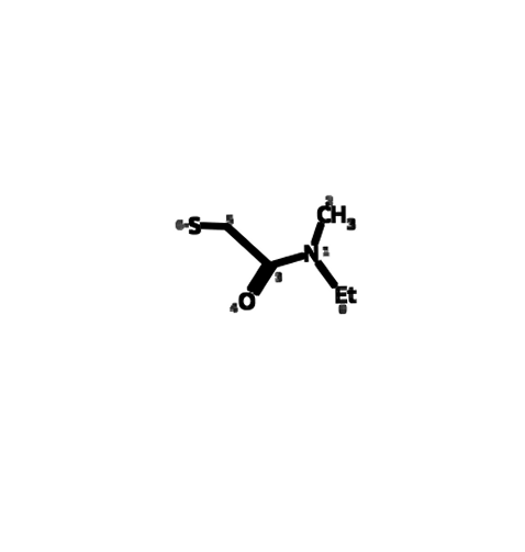 CCN(C)C(=O)C[S]